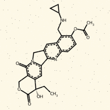 CC[C@@]1(O)C(=O)OCc2c1cc1n(c2=O)Cc2cc3c(CNC4CC4)c(OC(C)=O)ccc3nc2-1